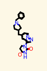 O=C1CCN(c2cnn3ccc(CC4CCN(Cc5ccccc5)CC4)cc23)C(=O)N1